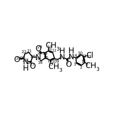 Cc1ccc(NC(=O)NCc2cc(C)c3c(c2C)CN(C2CCC(=O)NC2=O)C3=O)cc1Cl